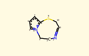 C1=NCCn2cccc2SC1